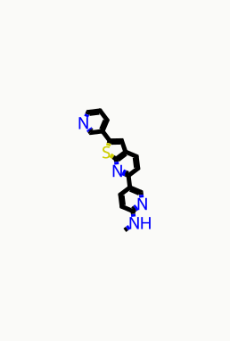 CNc1ccc(-c2ccc3cc(-c4cccnc4)sc3n2)cn1